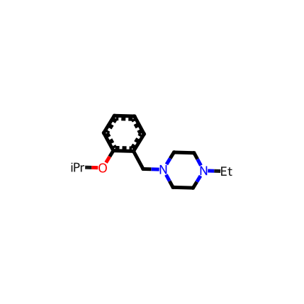 [CH2]CN1CCN(Cc2ccccc2OC(C)C)CC1